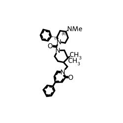 CN[C@@H]1CCN(C(=O)N2CCC(Cn3ccc(-c4ccccc4)cc3=O)C(C)(C)C2)[C@H](c2ccccc2)C1